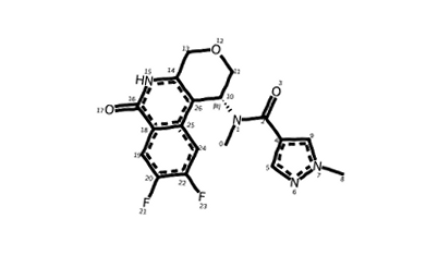 CN(C(=O)c1cnn(C)c1)[C@H]1COCc2[nH]c(=O)c3cc(F)c(F)cc3c21